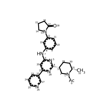 CC(=O)N1C[C@H](c2nc(Nc3cccc(N4CCCC4=O)c3)cc(-c3cccnc3)n2)CC[C@@H]1C